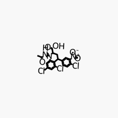 CC(=O)NN1c2cc(Cl)cc(Cl)c2C(c2ccc(Cl)c([N+](=O)[O-])c2)CC1C(=O)O